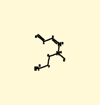 C=C/C=N\N(C)CCC(C)C